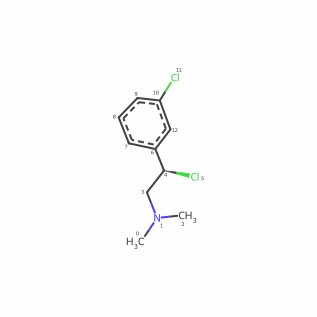 CN(C)C[C@H](Cl)c1cccc(Cl)c1